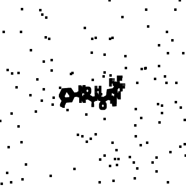 Cc1cccc(-c2noc([C@@H](C)NC(=O)c3cc(C(F)(F)F)nn3C)n2)c1